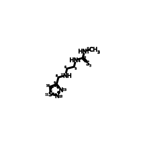 CNC(=S)NCCNCc1csnn1